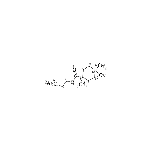 COCCOC(=O)C1(C)CCC2(C)OC2C1